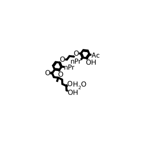 CCCc1c(OCCCOc2ccc3c(c2CCC)OC(C)(CCC(=O)CO)CC3=O)ccc(C(C)=O)c1O.O